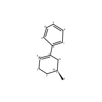 C[C@H]1CCN=C(c2ccccc2)C1